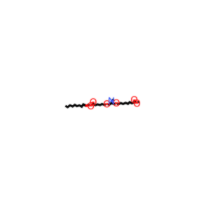 CCCCCCCC/C=C/COC(=O)CCCCCOCC(COCCCCCCCC(=O)OC)N(C)C